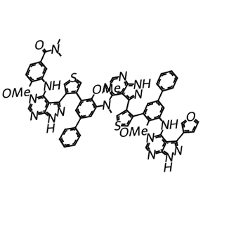 COc1ccc(C(=O)N(C)C)cc1Nc1ncnc2[nH]nc(-c3cscc3-c3cc(-c4ccccc4)cc(N(C)c4ncnc5[nH]nc(-c6cscc6-c6cc(-c7ccccc7)cc(Nc7ncnc8[nH]nc(-c9ccoc9)c78)c6OC)c45)c3OC)c12